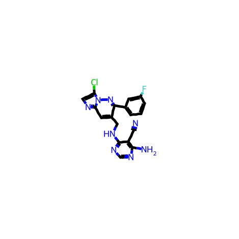 N#Cc1c(N)ncnc1NCc1cc2ncc(Cl)n2nc1-c1cccc(F)c1